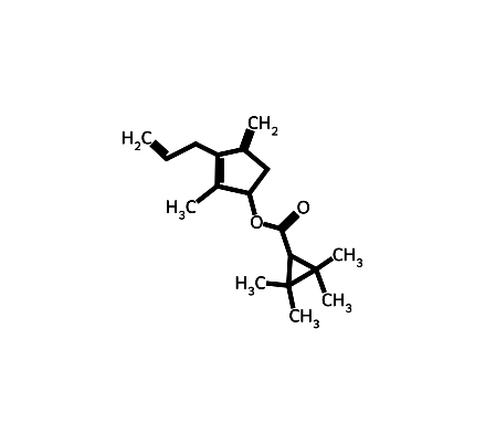 C=CCC1=C(C)C(OC(=O)C2C(C)(C)C2(C)C)CC1=C